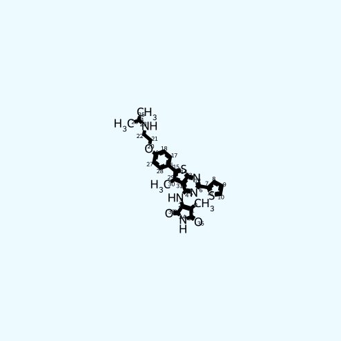 CC1=C(Nc2nc(-c3cccs3)nc3sc(-c4ccc(OCCNC(C)C)cc4)c(C)c23)C(=O)NC1=O